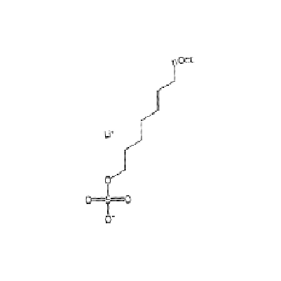 CCCCCCCCCCCCCCCOS(=O)(=O)[O-].[Li+]